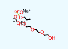 C=CCOS(=O)(=O)[O-].CCOCC.OCCOCCOCCO.[Na+]